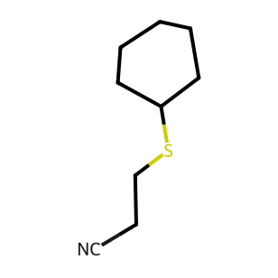 N#CCCSC1CCCCC1